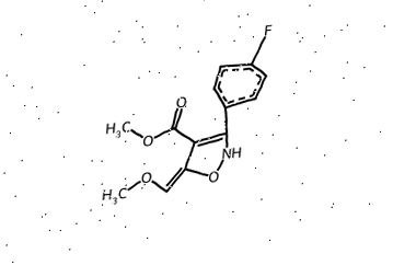 COC=C1ONC(c2ccc(F)cc2)=C1C(=O)OC